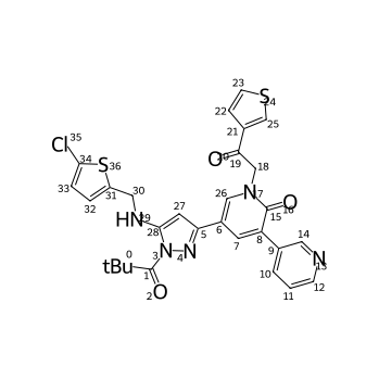 CC(C)(C)C(=O)n1nc(-c2cc(-c3cccnc3)c(=O)n(CC(=O)c3ccsc3)c2)cc1NCc1ccc(Cl)s1